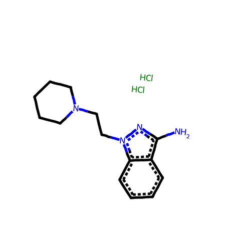 Cl.Cl.Nc1nn(CCN2CCCCC2)c2ccccc12